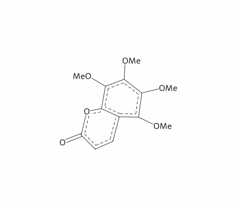 COc1c(OC)c(OC)c2oc(=O)ccc2c1OC